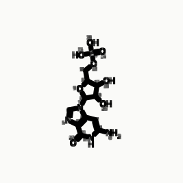 Nc1cc2c(ncn2C2OC(COP(=O)(O)O)C(O)C2O)c(=O)[nH]1